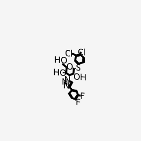 OCC1O[C@H](Sc2ccc(Cl)c(Cl)c2)C(O)[C@@H](n2cc(-c3ccc(F)c(F)c3)nn2)[C@H]1O